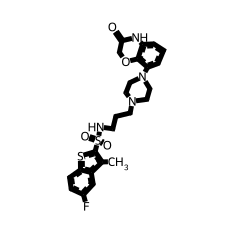 Cc1c(S(=O)(=O)NCCCN2CCN(c3cccc4c3OCC(=O)N4)CC2)sc2ccc(F)cc12